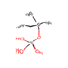 CCC[Si](CCC)(CCC)[O][Ti]([OH])([OH])[OH]